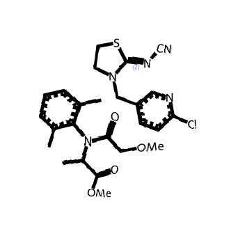 COCC(=O)N(c1c(C)cccc1C)C(C)C(=O)OC.N#C/N=C1\SCCN1Cc1ccc(Cl)nc1